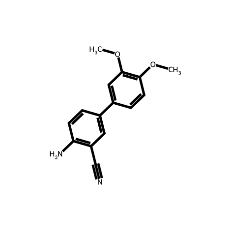 COc1ccc(-c2ccc(N)c(C#N)c2)cc1OC